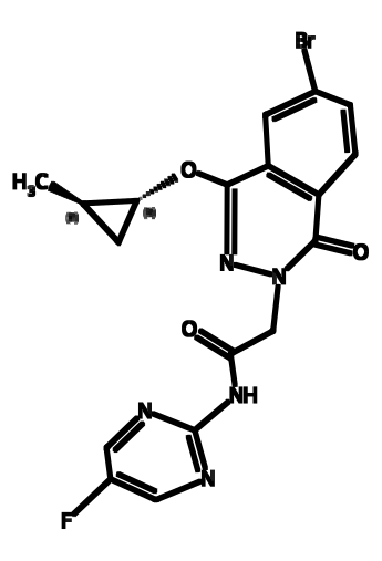 C[C@@H]1C[C@H]1Oc1nn(CC(=O)Nc2ncc(F)cn2)c(=O)c2ccc(Br)cc12